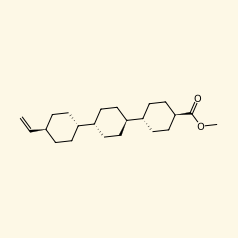 C=C[C@H]1CC[C@H]([C@H]2CC[C@H]([C@H]3CC[C@H](C(=O)OC)CC3)CC2)CC1